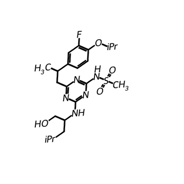 CC(C)CC(CO)Nc1nc(CC(C)c2ccc(OC(C)C)c(F)c2)nc(NS(C)(=O)=O)n1